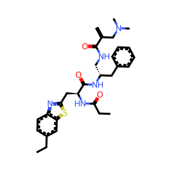 C=C(CN(C)C)C(=O)NC[C@H](Cc1ccccc1)NC(=O)[C@H](Cc1nc2ccc(CC)cc2s1)NC(=O)CC